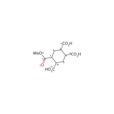 COC(=O)C1CC(C(=O)O)C(C(=O)O)CC1C(=O)O